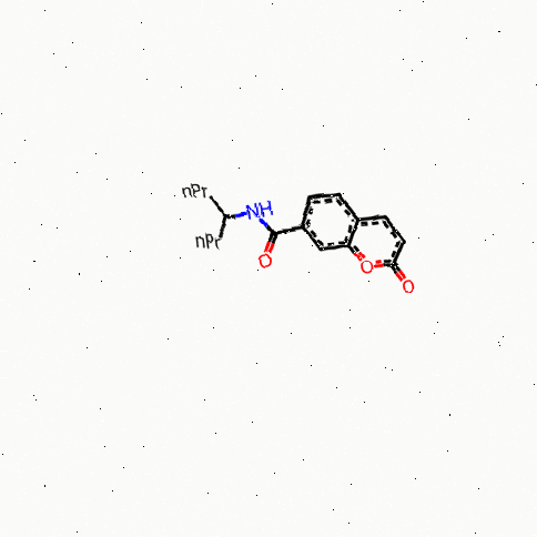 CCCC(CCC)NC(=O)c1ccc2ccc(=O)oc2c1